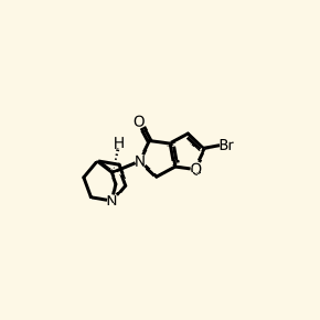 O=C1c2cc(Br)oc2CN1[C@H]1CN2CCC1CC2